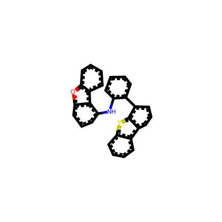 c1ccc(-c2cccc3c2sc2ccccc23)c(Nc2cccc3oc4ccccc4c23)c1